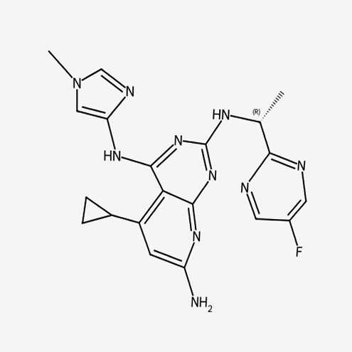 C[C@@H](Nc1nc(Nc2cn(C)cn2)c2c(C3CC3)cc(N)nc2n1)c1ncc(F)cn1